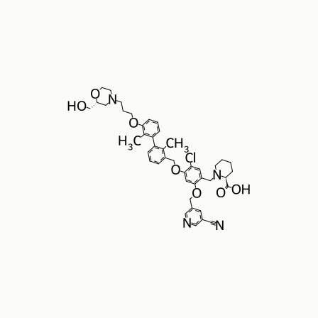 Cc1c(COc2cc(OCc3cncc(C#N)c3)c(CN3CCCC[C@H]3C(=O)O)cc2Cl)cccc1-c1cccc(OCCCN2CCO[C@@H](CO)C2)c1C